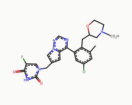 Cc1cc(Cl)cc(-c2ncnn3cc(Cn4cc(F)c(=O)[nH]c4=O)cc23)c1CC1CN(C(=O)O)CCO1